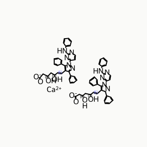 O=C([O-])C[C@H](O)C[C@H](O)/C=C/c1c(-c2ccccc2)nn(-c2ccnc(Nc3ccccc3)n2)c1-c1ccccc1.O=C([O-])C[C@H](O)C[C@H](O)/C=C/c1c(-c2ccccc2)nn(-c2ccnc(Nc3ccccc3)n2)c1-c1ccccc1.[Ca+2]